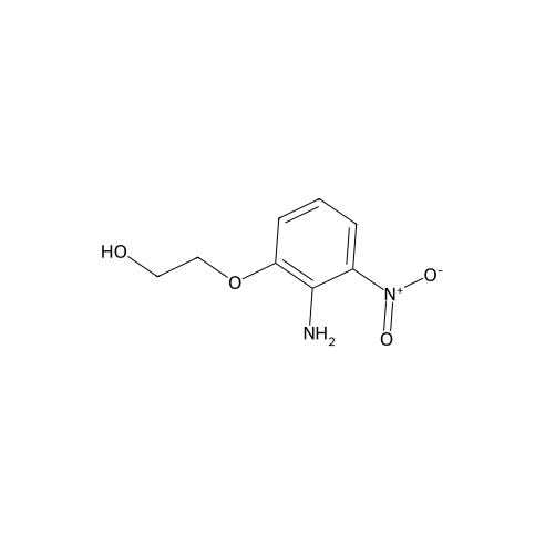 Nc1c(OCCO)cccc1[N+](=O)[O-]